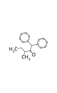 CCC(C)C(=O)C(c1ccccc1)c1ccccc1